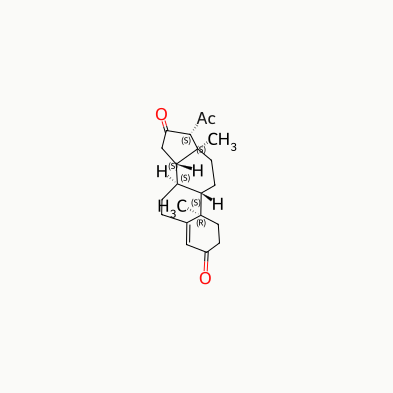 CC(=O)[C@H]1C(=O)C[C@H]2[C@@H]3CCC4=CC(=O)CC[C@]4(C)[C@H]3CC[C@]12C